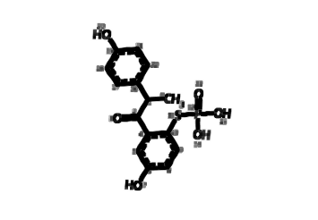 CC(C(=O)c1cc(O)ccc1SP(=O)(O)O)c1ccc(O)cc1